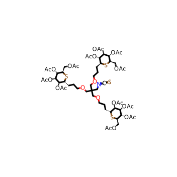 CC(=O)OC[C@H]1S[C@H](CCCOCC(CN=C=S)(COCCC[C@@H]2S[C@H](COC(C)=O)[C@@H](OC(C)=O)[C@H](OC(C)=O)[C@H]2OC(C)=O)COCCC[C@H]2S[C@H](COC(C)=O)[C@@H](OC(C)=O)[C@H](OC(C)=O)[C@@H]2OC(C)=O)[C@@H](OC(C)=O)[C@@H](OC(C)=O)[C@@H]1OC(C)=O